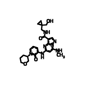 CNc1cc(Nc2cccn([C@@H]3CCCOC3)c2=O)nc2c(C(=O)NCC3(CO)CC3)cnn12